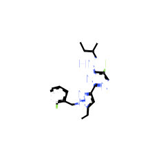 CCc1cc(-c2ncc(F)c(NCC(C)CC)n2)nn1Cc1ccccc1F